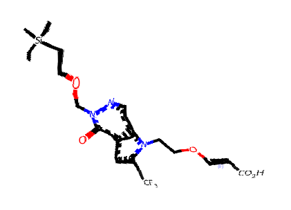 C[Si](C)(C)CCOCn1ncc2c(cc(C(F)(F)F)n2CCO/C=C/C(=O)O)c1=O